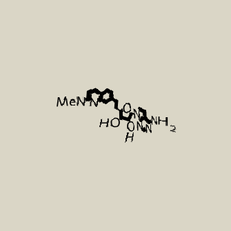 CNc1ccc2ccc(CC[C@H]3O[C@@H](n4ccc5c(N)ncnc54)[C@H](O)[C@@H]3O)cc2n1